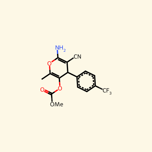 COC(=O)OC1=C(C)OC(N)=C(C#N)C1c1ccc(C(F)(F)F)cc1